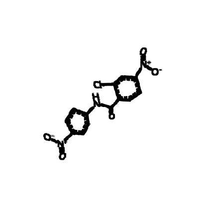 O=C(Nc1ccc([N+](=O)[O-])cc1)c1ccc([N+](=O)[O-])cc1Cl